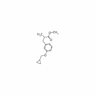 COC(=O)C(C)Cc1cccc(OCC2CC2)c1